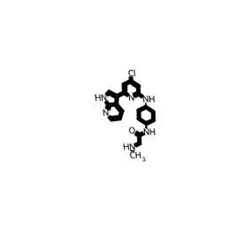 CNCC(=O)N[C@H]1CC[C@H](Nc2cc(Cl)cc(-c3c[nH]c4ncccc34)n2)CC1